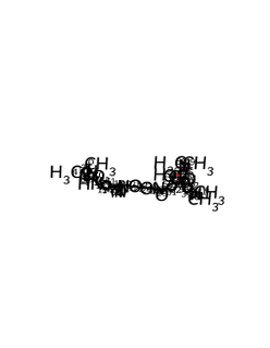 Cc1cc(C)n2ccc(C(=O)Nc3ccc(-c4cn(CCOCCOCCNC(=O)c5ccc(-c6c7ccc(=[N+](C)C)cc-7oc7cc(N(C)C)ccc67)c(C(=O)[O-])c5)nn4)cc3)c2n1